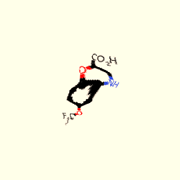 O=C(O)C1CNc2cc(OC(F)(F)F)ccc2O1